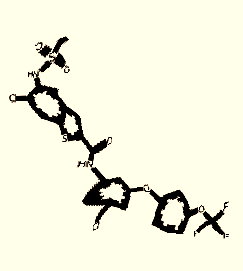 CS(=O)(=O)Nc1cc2cc(C(=O)Nc3cc(Cl)cc(Oc4cccc(OC(F)(F)F)c4)c3)sc2cc1Cl